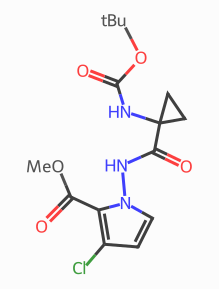 COC(=O)c1c(Cl)ccn1NC(=O)C1(NC(=O)OC(C)(C)C)CC1